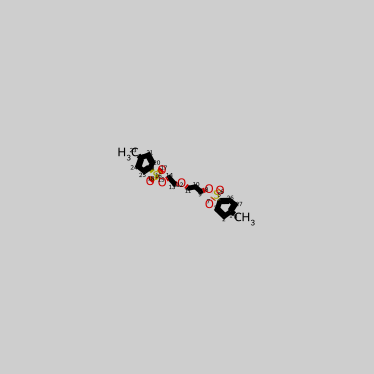 Cc1ccc(S(=O)(=O)OCCCOCCOS(=O)(=O)c2ccc(C)cc2)cc1